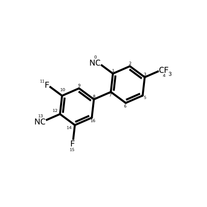 N#Cc1cc(C(F)(F)F)ccc1-c1cc(F)c(C#N)c(F)c1